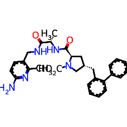 Cc1nc(N)ccc1CNC(=O)[C@H](C)NC(=O)[C@H]1C[C@H](Cc2ccccc2-c2ccccc2)CN1C(=O)O